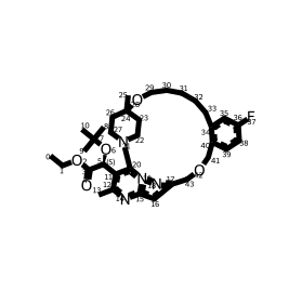 CCOC(=O)[C@@H](OC(C)(C)C)c1c(C)nc2cc3nn2c1N1CCC(C)(CC1)OCCCCCc1cc(F)ccc1COC3